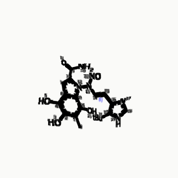 Cc1c(O)c(O)c2cc(C(N)=O)n(N(/C=C/c3nc[nH]c3C(C)(C)C)N=O)c2c1O